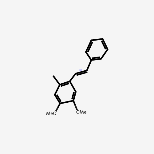 COc1cc(C)c(/C=C/c2ccccc2)cc1OC